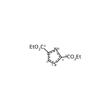 CCOC(=O)c1csc(C(=O)OCC)n1